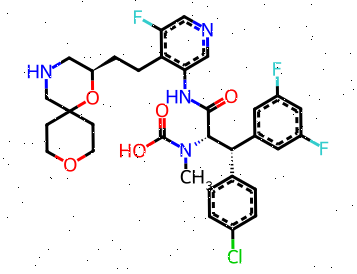 CN(C(=O)O)[C@H](C(=O)Nc1cncc(F)c1CC[C@@H]1CNCC2(CCOCC2)O1)[C@@H](c1ccc(Cl)cc1)c1cc(F)cc(F)c1